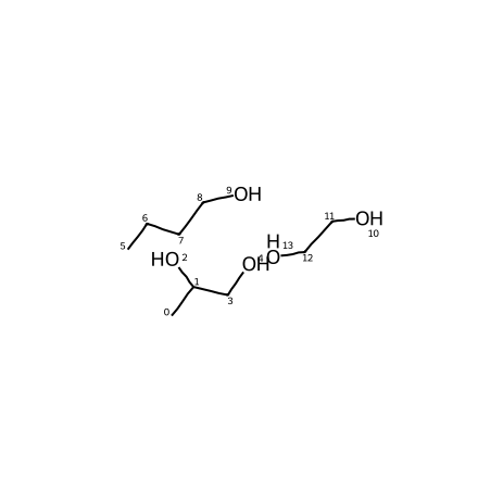 CC(O)CO.CCCCO.OCCO